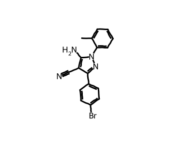 Cc1ccccc1-n1nc(-c2ccc(Br)cc2)c(C#N)c1N